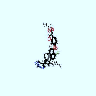 COC(=O)C[C@@H]1COc2cc(O[C@@H]3CCc4c(-c5c(C)cc(-c6cncnc6)cc5C)ccc(F)c43)ccc21